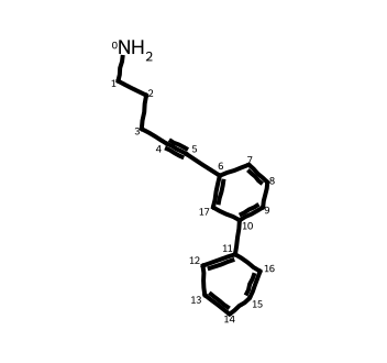 NCCCC#Cc1cccc(-c2ccccc2)c1